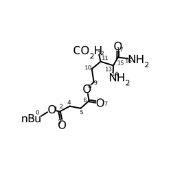 CCCCOC(=O)CCC(=O)OCCC(C(=O)O)C(N)C(N)=O